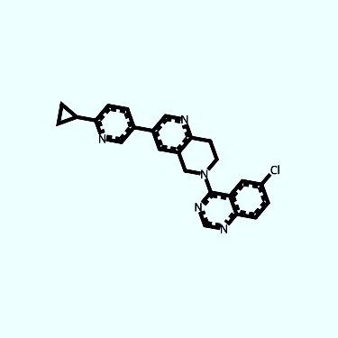 Clc1ccc2ncnc(N3CCc4ncc(-c5ccc(C6CC6)nc5)cc4C3)c2c1